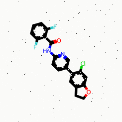 O=C(Nc1ccc(-c2cc3c(cc2Cl)OCC3)cn1)c1c(F)cccc1F